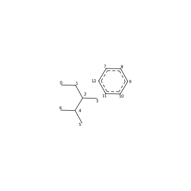 CCC(C)C(C)C.c1ccccc1